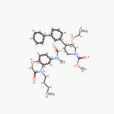 CCN(C(=O)[C@H]1CN(C(=O)OC(C)(C)C)C[C@@H](OCOC)C1c1cccc(-c2ccccc2)c1)c1ccc2c(c1)N(CCCOC)C(=O)CO2